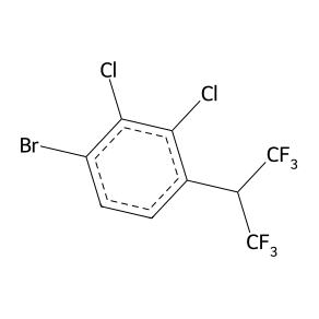 FC(F)(F)C(c1ccc(Br)c(Cl)c1Cl)C(F)(F)F